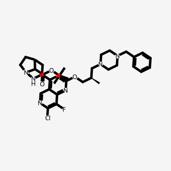 C[C@@H](COc1nc(C2CC3CCN(N2)C3C(=O)OC(C)(C)C)c2cnc(Cl)c(F)c2n1)CN1CCN(Cc2ccccc2)CC1